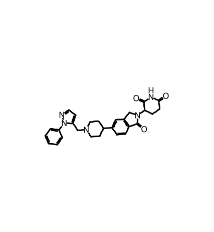 O=C1CCC(N2Cc3cc(C4CCN(Cc5ccnn5-c5ccccc5)CC4)ccc3C2=O)C(=O)N1